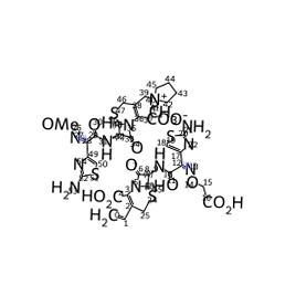 C=CC1=C(C(=O)O)N2C(=O)[C@@H](NC(=O)/C(=N\OCC(=O)O)c3csc(N)n3)[C@H]2SC1.CO/N=C(\C(=O)N[C@@H]1C(=O)N2C(C(=O)[O-])=C(C[N+]3(C)CCCC3)CS[C@H]12)c1csc(N)n1